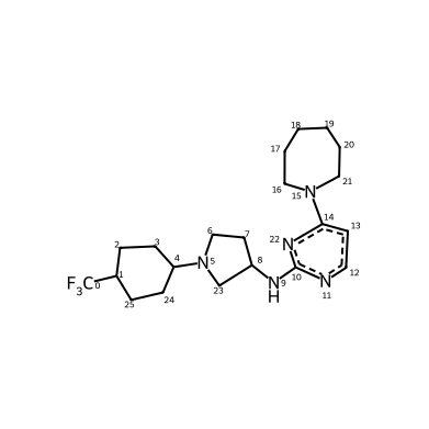 FC(F)(F)C1CCC(N2CCC(Nc3nccc(N4CCCCCC4)n3)C2)CC1